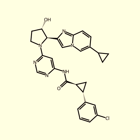 O=C(Nc1cc(N2CC[C@H](O)[C@H]2c2cn3cc(C4CC4)ccc3n2)ncn1)[C@H]1C[C@@H]1c1cccc(Cl)c1